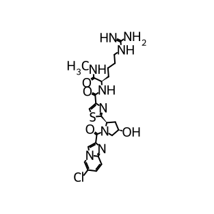 CNC(=O)[C@@H](CCCCNC(=N)N)NC(=O)c1csc([C@H]2C[C@@H](O)CN2C(=O)c2cn3cc(Cl)ccc3n2)n1